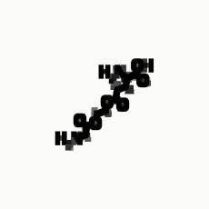 NCC(=O)OCCOC(=O)CC[C@H](N)C(=O)O